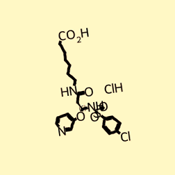 Cl.O=C(O)CCCCCCNC(=O)C[C@@H](NS(=O)(=O)c1ccc(Cl)cc1)Oc1cccnc1